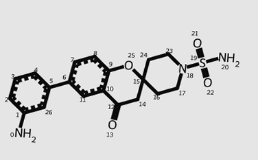 Nc1cccc(-c2ccc3c(c2)C(=O)CC2(CCN(S(N)(=O)=O)CC2)O3)c1